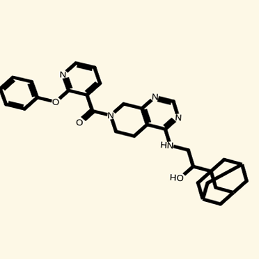 O=C(c1cccnc1Oc1ccccc1)N1CCc2c(ncnc2NCC(O)C23CC4CC(CC(C4)C2)C3)C1